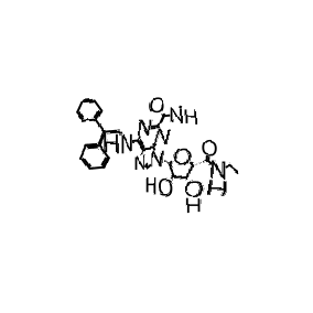 CCNC(=O)[C@H]1O[C@@H](n2cnc3c(NCC(c4ccccc4)c4ccccc4)nc(C(=O)NC)nc32)[C@H](O)[C@@H]1O